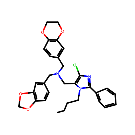 CCCCn1c(-c2ccccc2)nc(Cl)c1CN(Cc1ccc2c(c1)OCCO2)Cc1ccc2c(c1)OCO2